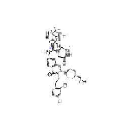 C[C@@H]1[C@@H](/N=C(/Nc2ccc3c(=O)n(CCc4ccc(Cl)cc4Cl)c(N4CCC(CO)CC4)nc3c2)N2CC(=O)N[C@@H](C)C2)C[C@H]2C[C@@H]1C2(C)C